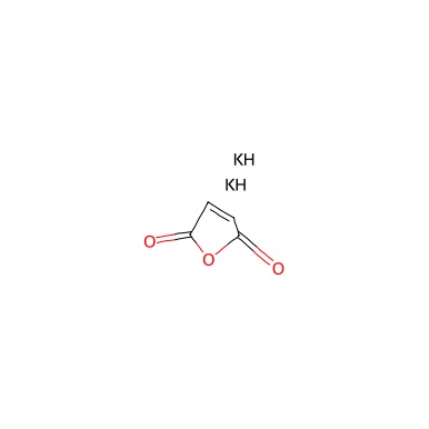 O=C1C=CC(=O)O1.[KH].[KH]